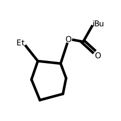 CCC(C)C(=O)OC1CCCCC1CC